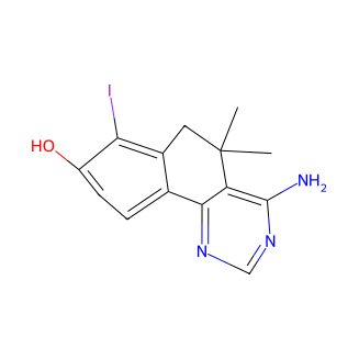 CC1(C)Cc2c(ccc(O)c2I)-c2ncnc(N)c21